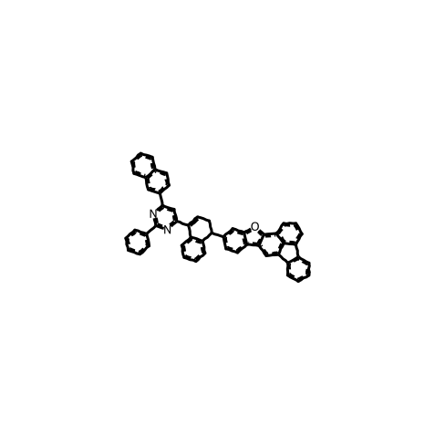 C1=C(c2cc(-c3ccc4ccccc4c3)nc(-c3ccccc3)n2)c2ccccc2C(c2ccc3c(c2)oc2c4cccc5c4c(cc32)-c2ccccc2-5)C1